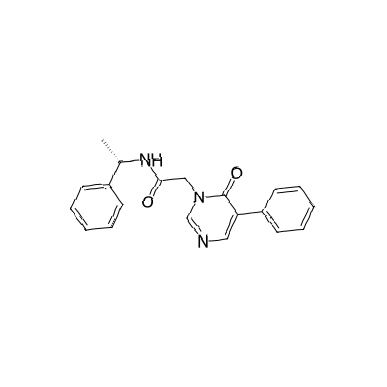 C[C@H](NC(=O)Cn1cncc(-c2ccccc2)c1=O)c1ccccc1